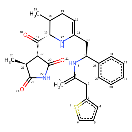 C=C(Cc1cccs1)N[C@@H](CC1=CCC(C)[C@@H](C(=O)[C@@H]2C(=O)NC(=O)[C@H]2C)N1)c1ccccc1